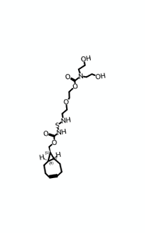 O=C(NSNCCOCCOC(=O)N(CCO)CCO)OC[C@@H]1[C@@H]2CCC#CCC[C@@H]21